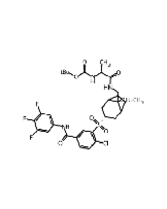 C[C@H](NC(=O)OC(C)(C)C)C(=O)NC[C@@]1(O)C2C[C@@H](S(=O)(=O)c3cc(C(=O)Nc4cc(F)c(F)c(F)c4)ccc3Cl)CC1[C@@H](C)C2